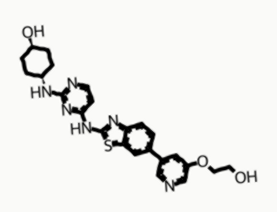 OCCOc1cncc(-c2ccc3nc(Nc4ccnc(N[C@H]5CC[C@H](O)CC5)n4)sc3c2)c1